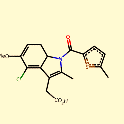 COC1=CCC2C(=C1Cl)C(CC(=O)O)=C(C)N2C(=O)c1ccc(C)s1